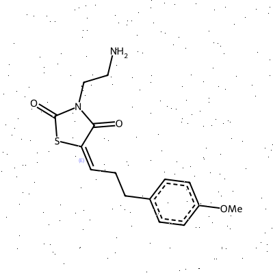 COc1ccc(CC/C=C2/SC(=O)N(CCN)C2=O)cc1